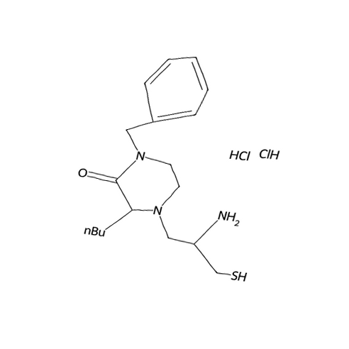 CCCCC1C(=O)N(Cc2ccccc2)CCN1CC(N)CS.Cl.Cl